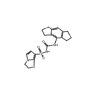 O=C(Nc1c2c(cc3c1CCC3)CCC2)NS(=O)(=O)c1ccn2c1OCC2